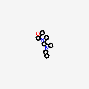 c1ccc2cc(-n3c4ccccc4c4c5c6ccccc6n(-c6cccc7oc8ccccc8c67)c5ccc43)ccc2c1